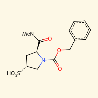 CNC(=O)[C@@H]1C[C@@H](S(=O)(=O)O)CN1C(=O)OCc1ccccc1